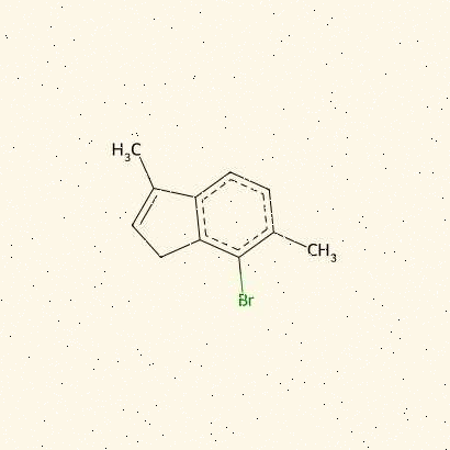 CC1=CCc2c1ccc(C)c2Br